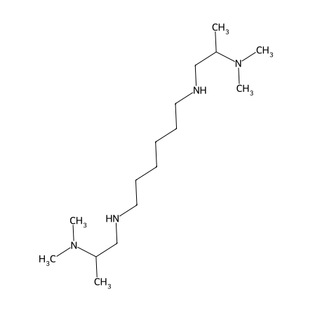 CC(CNCCCCCCNCC(C)N(C)C)N(C)C